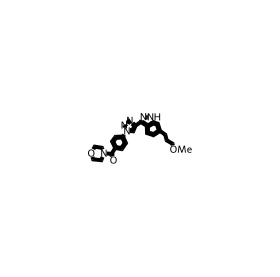 COCCCc1ccc2c(-c3cn(-c4ccc(C(=O)N5CCOCC5)cc4)nn3)n[nH]c2c1